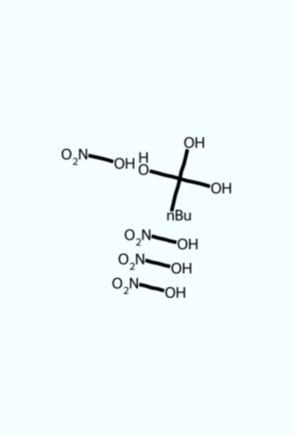 CCCCC(O)(O)O.O=[N+]([O-])O.O=[N+]([O-])O.O=[N+]([O-])O.O=[N+]([O-])O